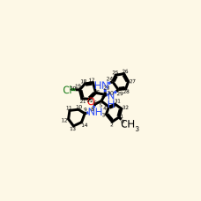 Cc1ccc(C(C(=O)NC2CCCCC2)C2(c3ccc(Cl)cc3)Nc3ccccc3N2)cc1